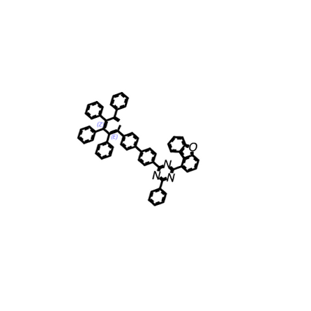 C=C(/C(=C(\C(=C(/C)c1ccc(-c2ccc(-c3nc(-c4ccccc4)nc(-c4cccc5oc6ccccc6c45)n3)cc2)cc1)c1ccccc1)c1ccccc1)c1ccccc1)c1ccccc1